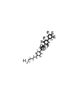 CCCCCC1CCC(C23COC(c4c(F)cc(-c5cc(F)c(F)c(F)c5)c(F)c4F)(OC2)OC3)CC1